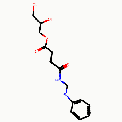 O=C(CCC(=O)OCC(O)CO)NCNc1ccccc1